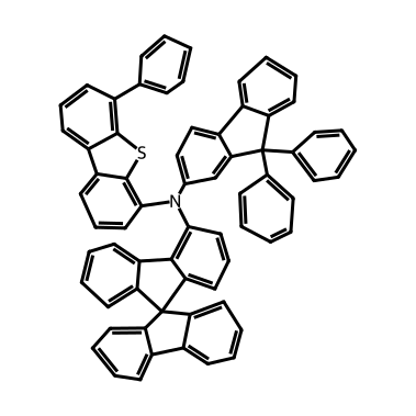 c1ccc(-c2cccc3c2sc2c(N(c4ccc5c(c4)C(c4ccccc4)(c4ccccc4)c4ccccc4-5)c4cccc5c4-c4ccccc4C54c5ccccc5-c5ccccc54)cccc23)cc1